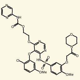 COc1ccc(Cl)c(Oc2c(NS(=O)(=O)c3ccc(OC)c(OCC(=O)N4CCOCC4)c3)ncnc2OCCOC(=O)Nc2cnccn2)c1